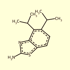 CC(C)c1ccc2sc(N)nc2c1C(C)C